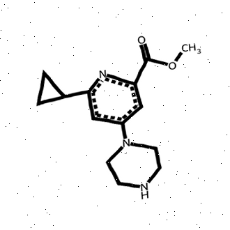 COC(=O)c1cc(N2CCNCC2)cc(C2CC2)n1